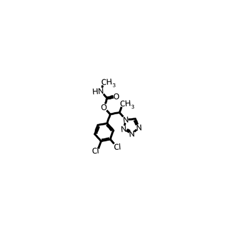 CNC(=O)OC(c1ccc(Cl)c(Cl)c1)C(C)n1cnnn1